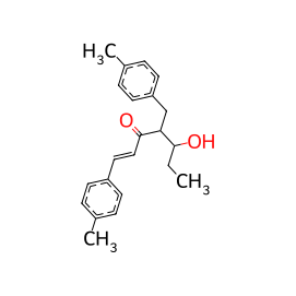 CCC(O)C(Cc1ccc(C)cc1)C(=O)C=Cc1ccc(C)cc1